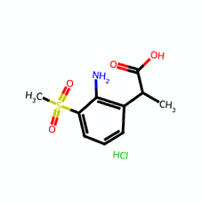 CC(C(=O)O)c1cccc(S(C)(=O)=O)c1N.Cl